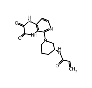 C=CC(=O)N[C@H]1CCCN(c2nccc3[nH]c(=O)c(=O)[nH]c23)C1